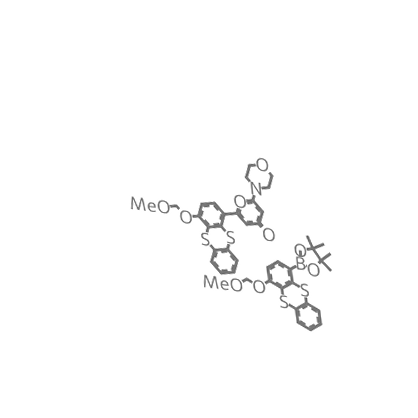 COCOc1ccc(-c2cc(=O)cc(N3CCOCC3)o2)c2c1Sc1ccccc1S2.COCOc1ccc(B2OC(C)(C)C(C)(C)O2)c2c1Sc1ccccc1S2